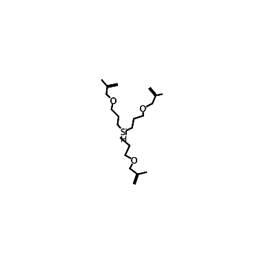 C=C(C)COCCC[SiH](CCCOCC(=C)C)CCCOCC(=C)C